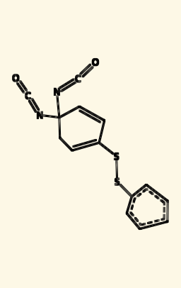 O=C=NC1(N=C=O)C=CC(SSc2ccccc2)=CC1